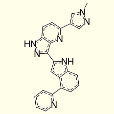 Cn1cc(-c2ccc3[nH]nc(-c4cc5c(-c6ccccn6)cccc5[nH]4)c3n2)cn1